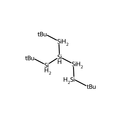 CC(C)(C)[SiH2][SiH2][SiH]([SiH2]C(C)(C)C)[SiH2]C(C)(C)C